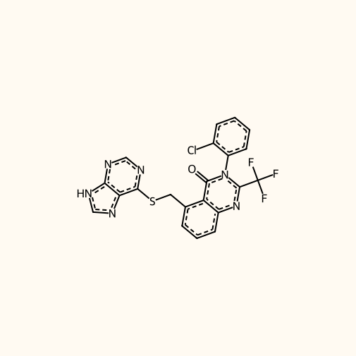 O=c1c2c(CSc3ncnc4[nH]cnc34)cccc2nc(C(F)(F)F)n1-c1ccccc1Cl